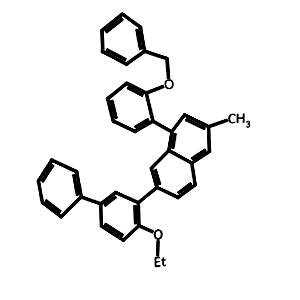 CCOc1ccc(-c2ccccc2)cc1-c1ccc2cc(C)cc(-c3ccccc3OCc3ccccc3)c2c1